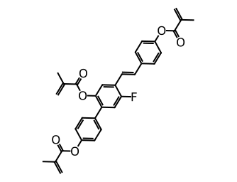 C=C(C)C(=O)Oc1ccc(/C=C/c2cc(OC(=O)C(=C)C)c(-c3ccc(OC(=O)C(=C)C)cc3)cc2F)cc1